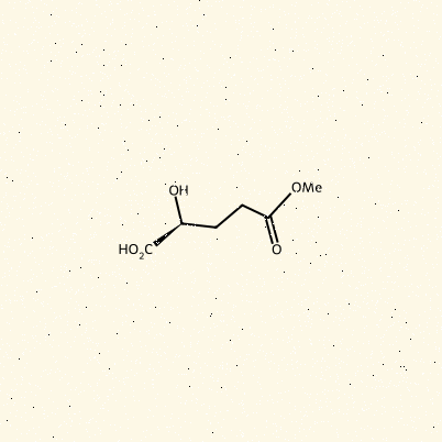 COC(=O)CC[C@H](O)C(=O)O